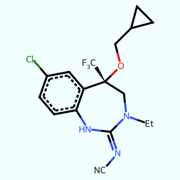 CCN1C[C@](OCC2CC2)(C(F)(F)F)c2cc(Cl)ccc2N/C1=N\C#N